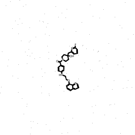 O=C(c1ccc(NCCOc2cccc3cccnc23)cc1)N1CCC(O)(Cc2cccc(F)n2)CC1